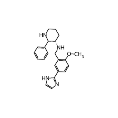 COc1ccc(-c2ncc[nH]2)cc1CN[C@H]1CCCNC1c1ccccc1